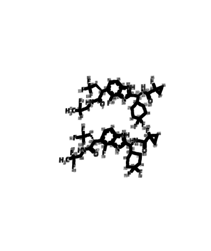 CC(F)(F)CNC(=O)[C@@H](CC(F)(F)F)c1ccc2[nH]c([C@@H](NC(=O)C3(F)CC3)C3CCC(F)(F)CC3)nc2c1F.CC(F)(F)CNC(=O)[C@H](CC(F)(F)F)c1ccc2[nH]c([C@@H](NC(=O)C3(F)CC3)C3CCC(F)(F)CC3)nc2c1F